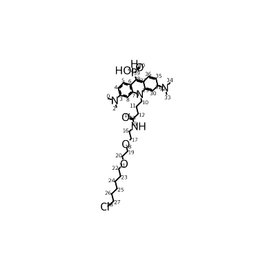 CN(C)c1ccc2c(c1)N(CCCC(=O)NCCOCCOCCCCCCCl)C1=CC(N(C)C)C=CC1=C2[PH](=O)O